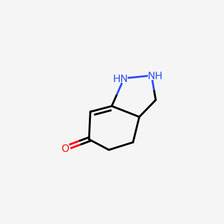 O=C1C=C2NNCC2CC1